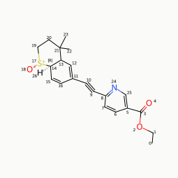 CCOC(=O)c1ccc(C#CC2=CC3[C@@H](C=C2)[S+]([O-])CCC3(C)C)nc1